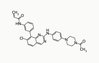 C=CC(=O)Nc1cccc(-c2c(Cl)ccc3cnc(Nc4ccc(N5CCN(C(C)=O)CC5)cc4)nc23)c1